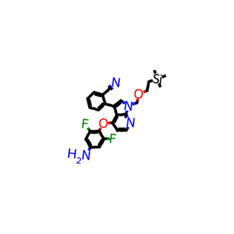 C[Si](C)(C)CCOCn1cc(-c2ccccc2C#N)c2c(Oc3c(F)cc(N)cc3F)ccnc21